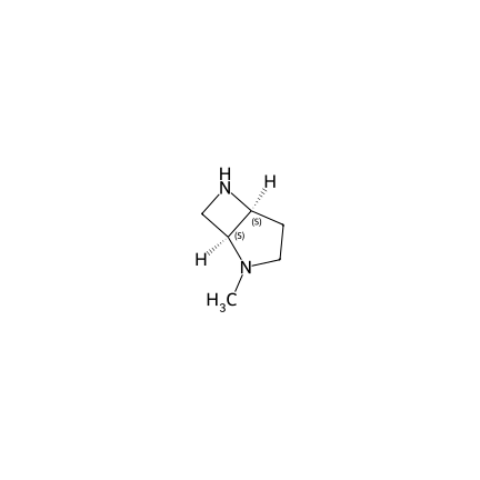 CN1CC[C@@H]2NC[C@@H]21